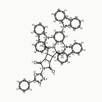 O=C1C2C(C(=O)N1c1nnc(-c3ccccc3)o1)C1C(=O)N(c3c(-n4c5ccccc5c5ccccc54)cc(-n4c5ccccc5c5ccccc54)cc3-n3c4ccccc4c4ccccc43)C(=O)C21